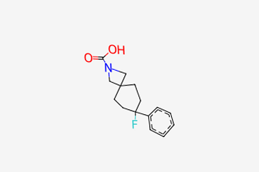 O=C(O)N1CC2(CCC(F)(c3ccccc3)CC2)C1